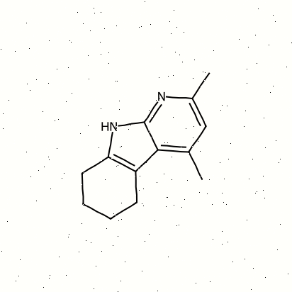 Cc1cc(C)c2c3c([nH]c2n1)CCCC3